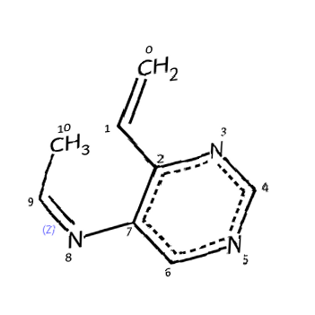 C=Cc1ncncc1/N=C\C